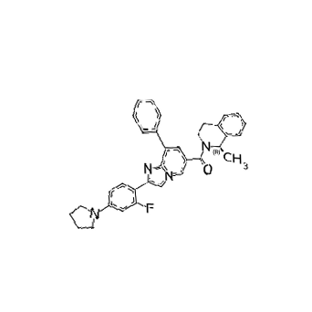 C[C@@H]1c2ccccc2CCN1C(=O)c1cc(-c2ccccc2)c2nc(-c3ccc(N4CCCC4)cc3F)cn2c1